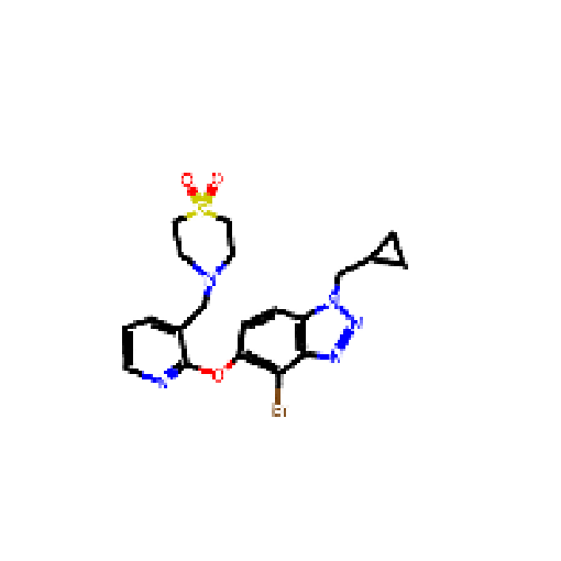 O=S1(=O)CCN(Cc2cccnc2Oc2ccc3c(nnn3CC3CC3)c2Br)CC1